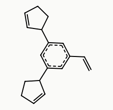 C=Cc1cc(C2C=CCC2)cc(C2C=CCC2)c1